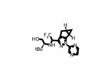 CC(C)(C)[C@@H](CO)NC(c1nn(-c2cnccn2)c2c1C[C@@H]1C[C@H]21)C(F)(F)F